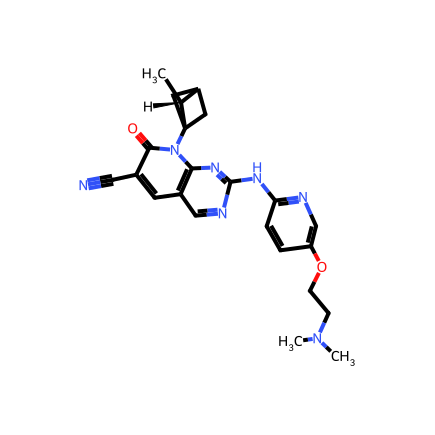 C[C@@H]1C2CC1(n1c(=O)c(C#N)cc3cnc(Nc4ccc(OCCN(C)C)cn4)nc31)C2